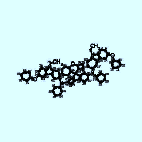 CCn1c2ccc(Oc3ccccc3)cc2c2cc(N(c3ccccc3)c3ccc4c(c3)C3(c5ccccc5Oc5ccccc53)c3cc(N(c5ccccc5)c5ccc6c(c5)c5cc(Oc7ccccc7)ccc5n6CC)ccc3-4)ccc21